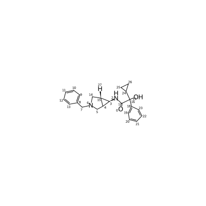 O=C(N[C@H]1C2CN(Cc3ccccc3)C[C@@H]21)C(O)(c1ccccc1)C1CC1